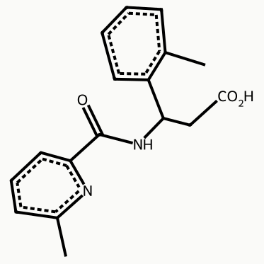 Cc1cccc(C(=O)NC(CC(=O)O)c2ccccc2C)n1